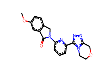 COc1ccc2c(c1)C(=O)N(c1cccc(-c3nnc4n3CCOC4)n1)C2